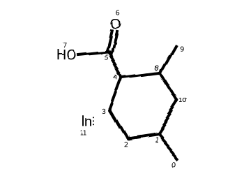 CC1CCC(C(=O)O)C(C)C1.[In]